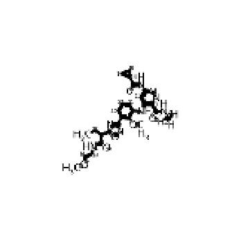 [2H]C([2H])([2H])NC(=O)c1nnc(NC(=O)C2CC2)cc1Nc1cccc(-c2noc(C(CC)C(=O)NCCOC)n2)c1OC